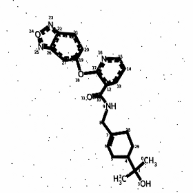 CC(C)(O)C1CC=C(CNC(=O)c2cccnc2Oc2ccc3nonc3c2)CC1